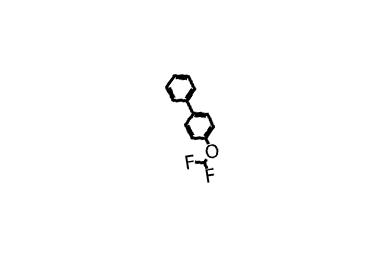 FC(F)Oc1ccc(-c2ccccc2)cc1